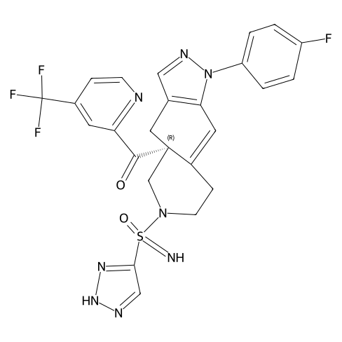 N=S(=O)(c1cn[nH]n1)N1CCC2=Cc3c(cnn3-c3ccc(F)cc3)C[C@]2(C(=O)c2cc(C(F)(F)F)ccn2)C1